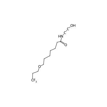 O=C(CCCCCCOCCC(F)(F)F)NCCO